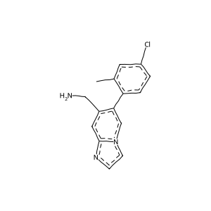 Cc1cc(Cl)ccc1-c1cn2ccnc2cc1CN